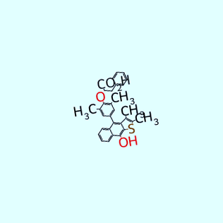 Cc1cc(-c2c3ccccc3c(O)c3sc(C)c(C)c23)cc(C)c1O[C@H](Cc1ccccc1)C(=O)O